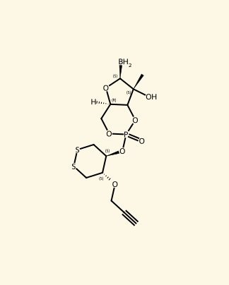 B[C@@H]1O[C@@H]2COP(=O)(O[C@@H]3CSSC[C@H]3OCC#C)OC2[C@@]1(C)O